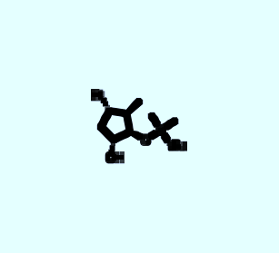 CC[C@H]1C[C@@H](O)[C@H](O[Si](C)(C)C(C)(C)C)[C@@H]1C